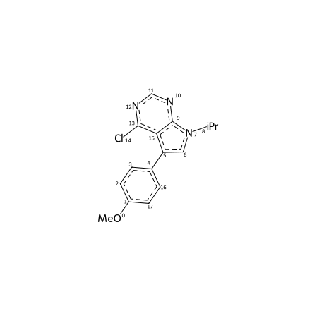 COc1ccc(-c2cn(C(C)C)c3ncnc(Cl)c23)cc1